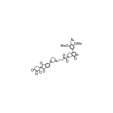 COc1cc(-c2cn(C)c(=O)c3c2CCN(C(=O)NCCCN2CCCN(c4ccc5c(c4)C(=O)N(C4CCC(=O)NC4=O)C5=O)C2)C3)cc(OC)c1CN(C)C